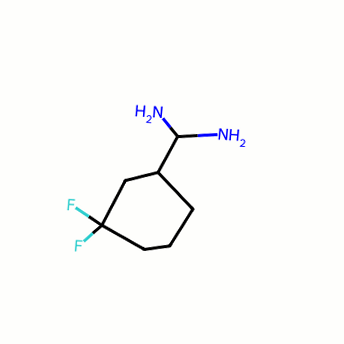 NC(N)C1CCCC(F)(F)C1